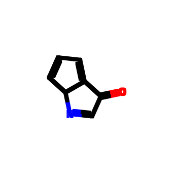 O=C1C=NC2C=CC=C12